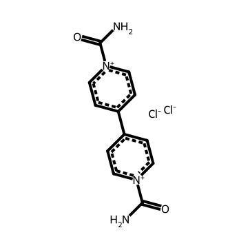 NC(=O)[n+]1ccc(-c2cc[n+](C(N)=O)cc2)cc1.[Cl-].[Cl-]